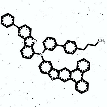 CCCCc1ccc(-c2cccc(N(c3ccc4sc5cc6c7ccccc7c7ccccc7c6cc5c4c3)c3cccc4c3oc3ccc(-c5ccccc5)cc34)c2)cc1